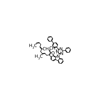 C=Cc1oc2c(ccc3c4ccccc4n(-c4nc(-c5ccccc5)nc(-c5ccc(-c6ccccc6)cc5)n4)c32)c1C/C=C(\C)C/C(C)=C/C/C=C\C